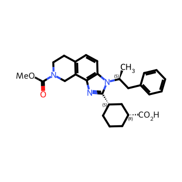 COC(=O)N1CCc2ccc3c(nc([C@H]4CCC[C@@H](C(=O)O)C4)n3[C@@H](C)Cc3ccccc3)c2C1